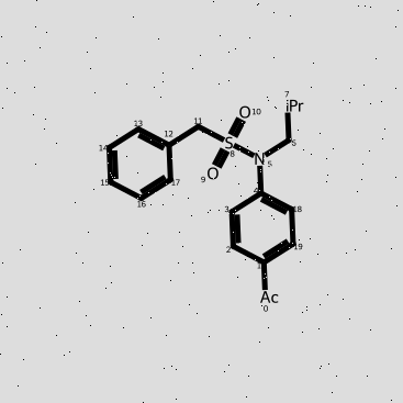 CC(=O)c1ccc(N(CC(C)C)S(=O)(=O)Cc2ccccc2)cc1